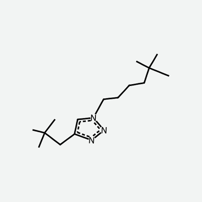 CC(C)(C)CCCCn1cc(CC(C)(C)C)nn1